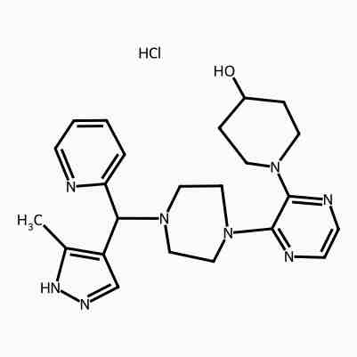 Cc1[nH]ncc1C(c1ccccn1)N1CCN(c2nccnc2N2CCC(O)CC2)CC1.Cl